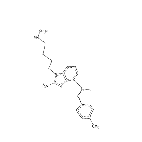 COc1ccc(CN(C)c2cccc3c2nc(N)n3CCCCNC(=O)O)cc1